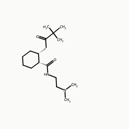 CN(C)CCNC(=O)[C@@H]1CCCC[C@@H]1CC(=O)C(C)(C)C